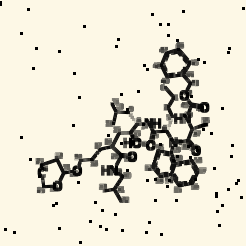 CCCC[C@@H](C(=O)N[C@@H](CC(C)C)[C@@H](O)CC(CCCOC1CCCCO1)C(=O)NCC(C)C)N(C(=O)[C@H](C)NC(=O)OCc1ccccc1)c1cccc2ccccc12